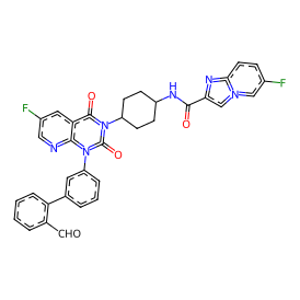 O=Cc1ccccc1-c1cccc(-n2c(=O)n(C3CCC(NC(=O)c4cn5cc(F)ccc5n4)CC3)c(=O)c3cc(F)cnc32)c1